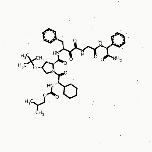 CC(C)COC(=O)N[C@H](C(=O)N1C[C@H](OC(C)(C)C)C[C@H]1C(=O)N[C@@H](Cc1ccccc1)C(=O)C(=O)NCC(=O)N[C@H](C(N)=O)c1ccccc1)C1CCCCC1